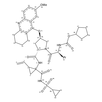 C=CC1CC1(NC(=O)[C@@H]1C[C@@H](Oc2c3c(nc4ccc(OC)cc24)CCCC3)CN1C(=O)[C@@H](NC(=O)OC1CCCC1)C(C)C)C(=O)NS(=O)(=O)C1CC1